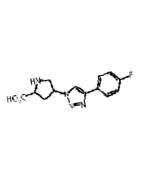 O=C(O)C1CC(n2cc(-c3ccc(F)cc3)nn2)CN1